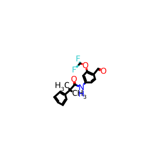 CC(C)(C(=O)Nc1ccc(C=O)c(OC(F)F)c1)c1ccccc1